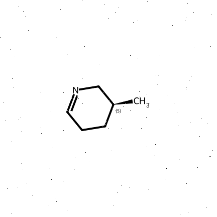 C[C@H]1CCC=NC1